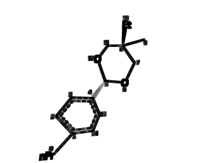 CCCc1ccc([C@H]2OC[C@](C)(CC)CO2)cc1